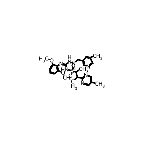 COc1cccc(OC)c1/N=C(/NNCc1cncc(C)c1)NS(=O)(=O)C(C)C(C)c1ncc(C)cn1